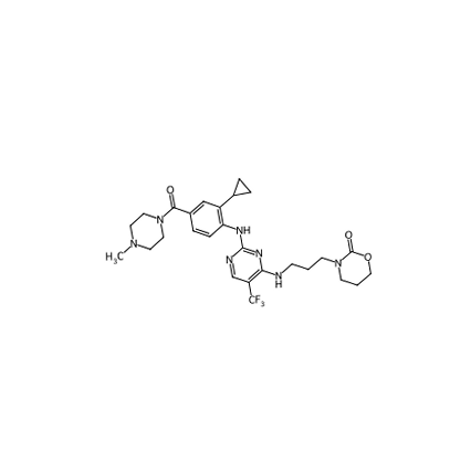 CN1CCN(C(=O)c2ccc(Nc3ncc(C(F)(F)F)c(NCCCN4CCCOC4=O)n3)c(C3CC3)c2)CC1